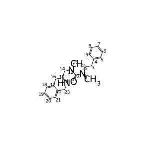 CN(CCc1ccccc1)C(=O)N(C)CC1Cc2ccccc2CN1